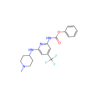 CN1CCC(Nc2cc(C(F)(F)F)cc(NC(=O)Oc3ccccc3)n2)CC1